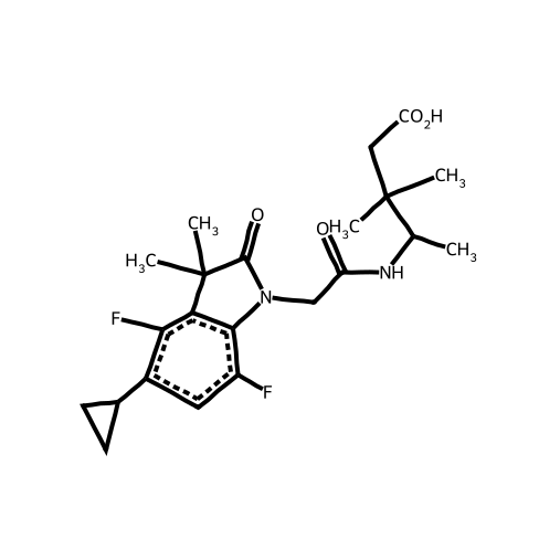 CC(NC(=O)CN1C(=O)C(C)(C)c2c(F)c(C3CC3)cc(F)c21)C(C)(C)CC(=O)O